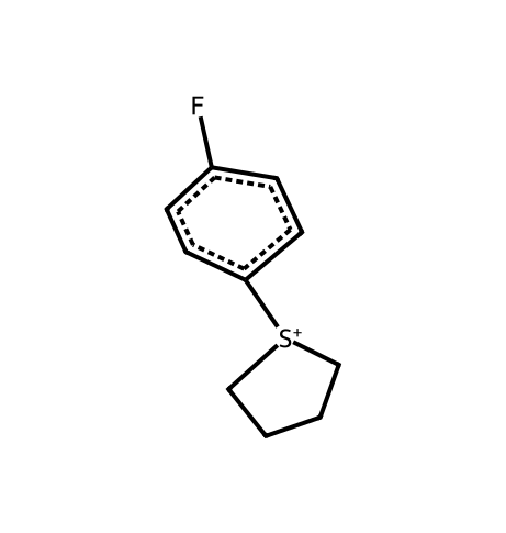 Fc1ccc([S+]2CCCC2)cc1